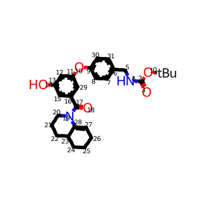 CC(C)(C)OC(=O)NCc1ccc(Oc2cc(O)cc(C(=O)N3CCCC4CCCC=C43)c2)cc1